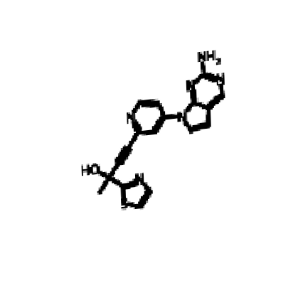 CC(O)(C#Cc1cc(-n2ccc3cnc(N)nc32)ccn1)c1nccs1